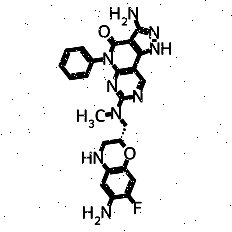 CN(C[C@H]1CNc2cc(N)c(F)cc2O1)c1ncc2c3[nH]nc(N)c3c(=O)n(-c3ccccc3)c2n1